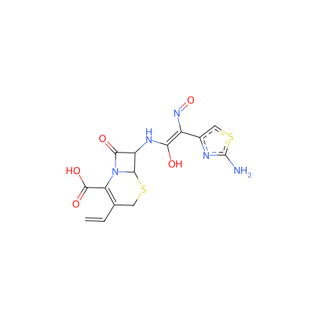 C=CC1=C(C(=O)O)N2C(=O)C(NC(O)=C(N=O)c3csc(N)n3)C2SC1